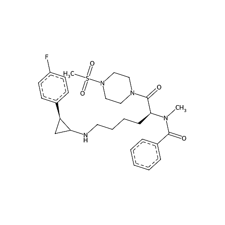 CN(C(=O)c1ccccc1)[C@@H](CCCCNC1C[C@H]1c1ccc(F)cc1)C(=O)N1CCN(S(C)(=O)=O)CC1